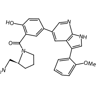 COc1ccccc1-c1c[nH]c2ncc(-c3ccc(O)c(C(=O)N4CCC[C@H]4CN)c3)cc12